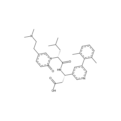 Cc1cccc(C)c1-c1cncc([C@H](CC(=O)O)NC(=O)[C@@H](CC(C)C)n2cc(CCN(C)C)ccc2=O)c1